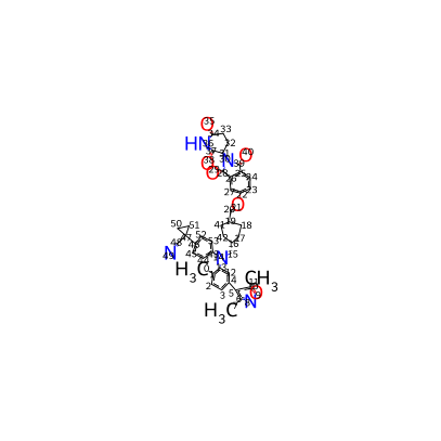 Cc1ccc(-c2c(C)noc2C)cc1N(C[C@H]1CC[C@H](COc2ccc3c(c2)C(=O)N(C2CCC(=O)NC2=O)C3=O)CC1)c1ccc(C2(C#N)CC2)cc1